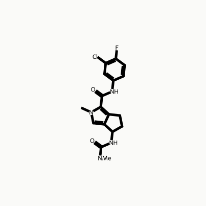 CNC(=O)NC1CCc2c1cn(C)c2C(=O)Nc1ccc(F)c(Cl)c1